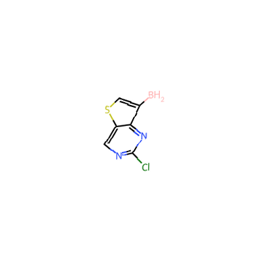 Bc1csc2cnc(Cl)nc12